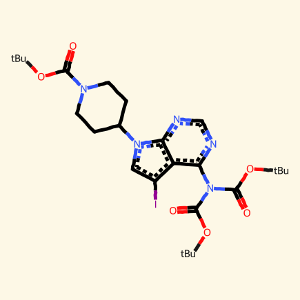 CC(C)(C)OC(=O)N1CCC(n2cc(I)c3c(N(C(=O)OC(C)(C)C)C(=O)OC(C)(C)C)ncnc32)CC1